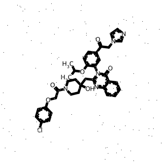 CC(C)Oc1ccc(C(=O)Cn2ccnc2)cc1-n1c(CC2(O)CCN(C(=O)COc3ccc(Cl)cc3)CC2)nc2ccccc2c1=O